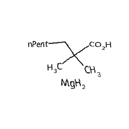 CCCCCCC(C)(C)C(=O)O.[MgH2]